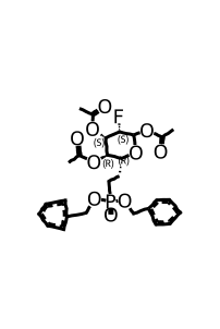 CC(=O)OC1O[C@H](CCP(=O)(OCc2ccccc2)OCc2ccccc2)[C@@H](OC(C)=O)[C@H](OC(C)=O)[C@@H]1F